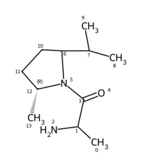 CC(N)C(=O)N1C(C(C)C)CC[C@H]1C